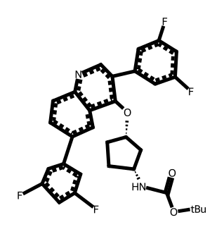 CC(C)(C)OC(=O)N[C@@H]1CC[C@H](Oc2c(-c3cc(F)cc(F)c3)cnc3ccc(-c4cc(F)cc(F)c4)cc23)C1